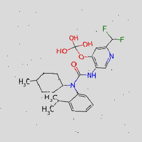 CC1CCC(N(C(=O)Nc2cnc(C(F)F)cc2OC(O)(O)O)c2ccccc2C(C)C)CC1